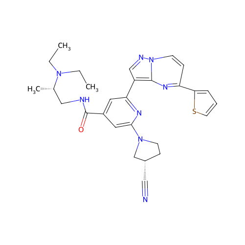 CCN(CC)[C@@H](C)CNC(=O)c1cc(-c2cnn3ccc(-c4cccs4)nc23)nc(N2CC[C@H](C#N)C2)c1